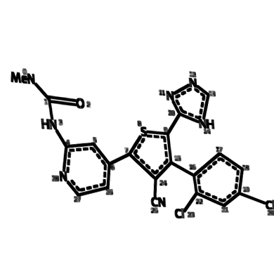 CNC(=O)Nc1cc(-c2sc(-c3nnc[nH]3)c(-c3ccc(Cl)cc3Cl)c2C#N)ccn1